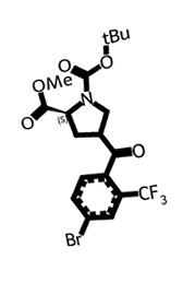 COC(=O)[C@@H]1CC(C(=O)c2ccc(Br)cc2C(F)(F)F)CN1C(=O)OC(C)(C)C